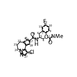 CNC(=O)OCC(Cc1cccc(F)c1)NC(=O)c1cc2c(s1)CCCn1ncc(Cl)c1-2